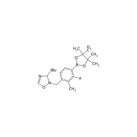 Cc1c(CN2OC=NC2C(C)(C)C)ccc(B2OC(C)(C)C(C)(C)O2)c1F